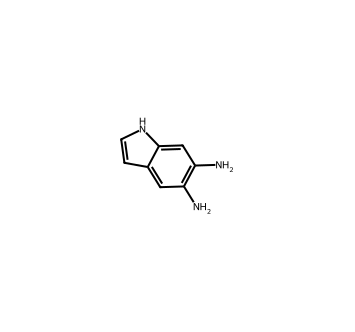 Nc1cc2cc[nH]c2cc1N